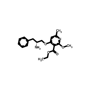 CCOC(=O)c1c(OC[C@H](N)Cc2ccccc2)cc(C)nc1OC